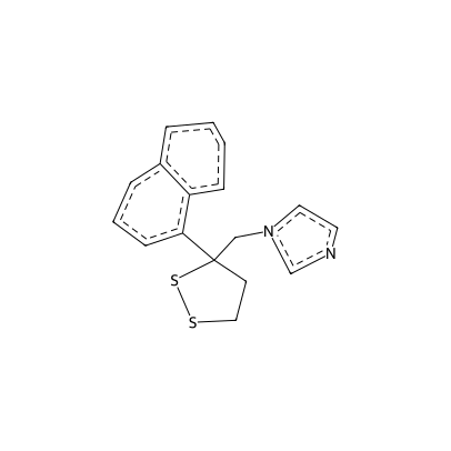 c1ccc2c(C3(Cn4ccnc4)CCSS3)cccc2c1